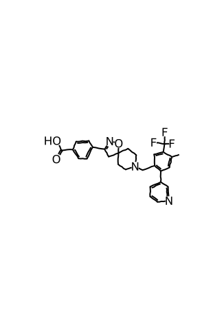 Cc1cc(-c2cccnc2)c(CN2CCC3(CC2)CC(c2ccc(C(=O)O)cc2)=NO3)cc1C(F)(F)F